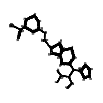 CCC(C(c1ccc2nc(NCc3cccc(C(=O)O)c3)sc2c1)n1ccnc1)N(C)C